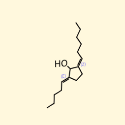 CCCC/C=C1\CC/C(=C/CCCCC)C1O